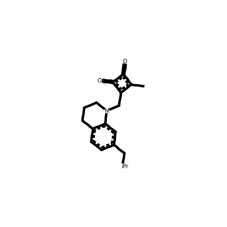 Cc1c(CN2CCCc3ccc(CC(C)C)cc32)c(=O)c1=O